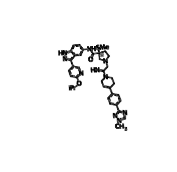 CS[C@@]1(C(=O)Nc2ccc3[nH]nc(-c4ccc(OC(C)C)nc4)c3c2)CCN(CC(=N)N2CC=C(c3ccc(-c4ncn(C)n4)cc3)CC2)C1